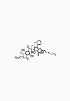 C/C=C/C=C/c1cc2c(C3=CC=CCC3=S)c3c(c(O)c2c(=O)[nH]1)[C@@]1(CC3)C(=O)c2c(O)c3c(c(O)c2C1=O)C(=O)C(OC)=CC3=O